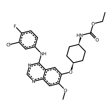 CCOC(=O)N[C@H]1CC[C@@H](Oc2cc3c(Nc4ccc(F)c(Cl)c4)ncnc3cc2OC)CC1